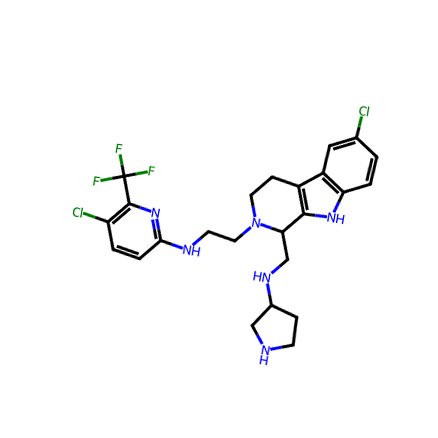 FC(F)(F)c1nc(NCCN2CCc3c([nH]c4ccc(Cl)cc34)C2CNC2CCNC2)ccc1Cl